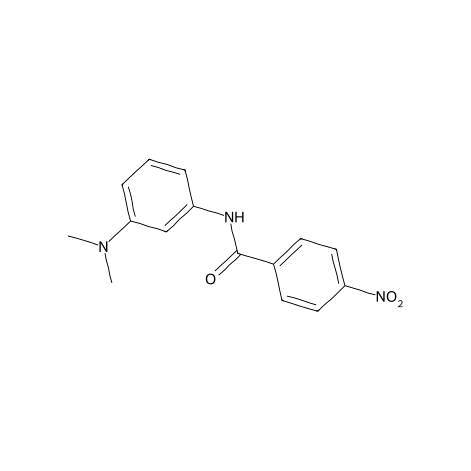 CN(C)c1cccc(NC(=O)c2ccc([N+](=O)[O-])cc2)c1